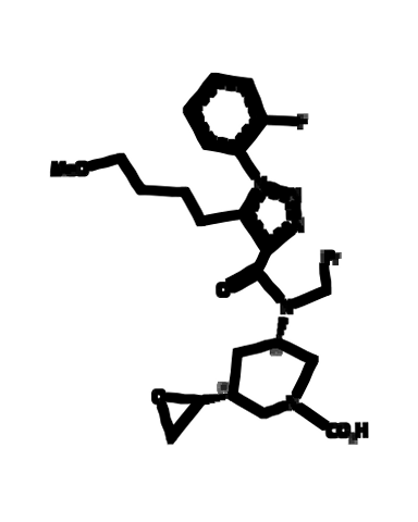 COCCCCc1c(C(=O)N(CC(C)C)[C@H]2C[C@@H](C3CO3)CN(C(=O)O)C2)nnn1-c1ccccc1F